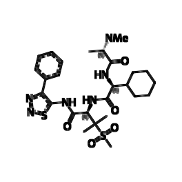 CN[C@@H](C)C(=O)N[C@H](C(=O)N[C@H](C(=O)Nc1snnc1-c1ccccc1)C(C)(C)S(C)(=O)=O)C1CCCCC1